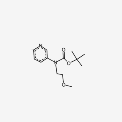 COCCN(C(=O)OC(C)(C)C)c1cc[c]nc1